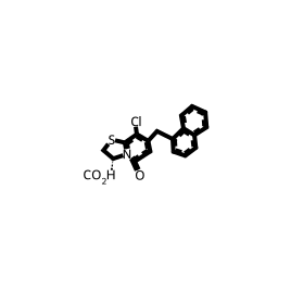 O=C(O)[C@@H]1CSc2c(Cl)c(Cc3cccc4ccccc34)cc(=O)n21